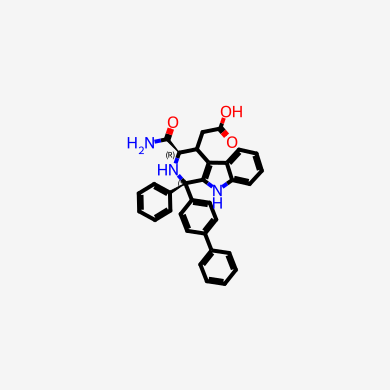 NC(=O)[C@@H]1N[C@@](c2ccccc2)(c2ccc(-c3ccccc3)cc2)c2[nH]c3ccccc3c2C1CC(=O)O